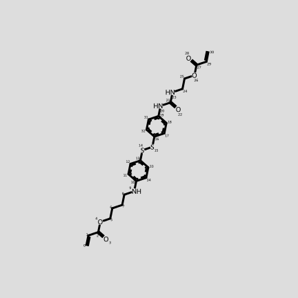 C=CC(=O)OCCCCNc1ccc(SSc2ccc(NC(=O)NCCOC(=O)C=C)cc2)cc1